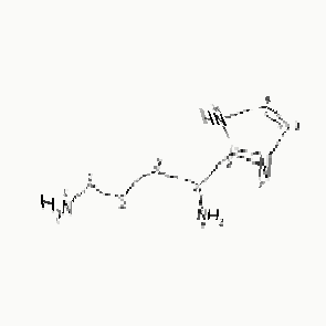 NCCCC(N)c1ncc[nH]1